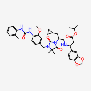 COc1cc(CN2C(=O)N([C@H](CN[C@@H](CC(=O)OC(C)C)c3ccc4c(c3)OCO4)CC3CC3)C(=O)C2(C)C)ccc1NC(=O)Nc1ccccc1C